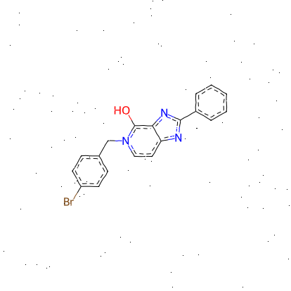 Oc1c2nc(-c3ccccc3)nc-2ccn1Cc1ccc(Br)cc1